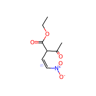 CCOC(=O)C(/C=C\[N+](=O)[O-])C(C)=O